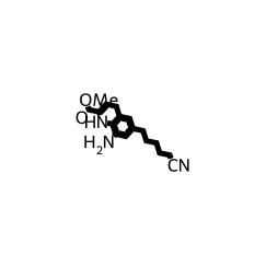 COC(=O)C1=CCc2cc(CCCCCC#N)cc(N)c2N1